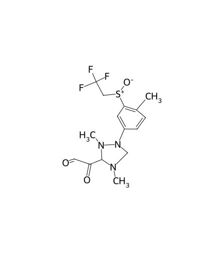 Cc1ccc(N2CN(C)C(C(=O)C=O)N2C)cc1[S+]([O-])CC(F)(F)F